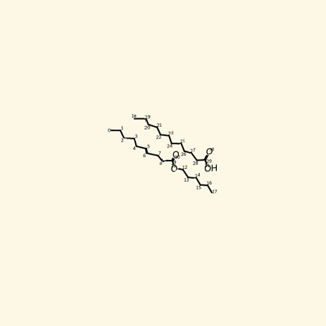 CCCCCCCCCC(=O)OCCCCCC.CCCCCCCCCCCC(=O)O